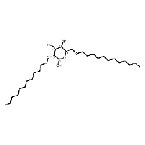 CCCCCCCCCCCCOC[C@H]1O[C@@H](O)[C@H](OCCCCCCCCCCCC)[C@@H](O)[C@H]1O